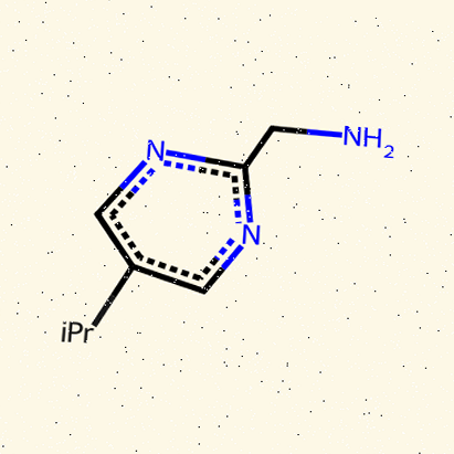 CC(C)c1cnc(CN)nc1